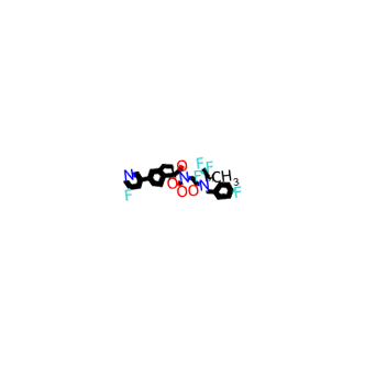 C[C@H](N(Cc1ccc(F)cc1)C(=O)CN1C(=O)O[C@@]2(CCc3cc(-c4cncc(F)c4)ccc32)C1=O)C(F)(F)F